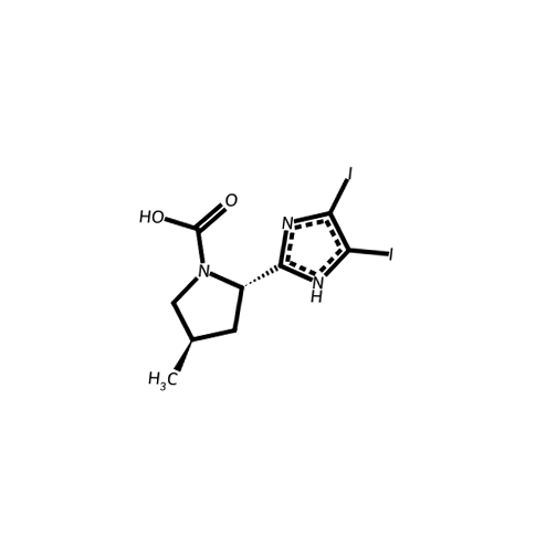 C[C@@H]1C[C@@H](c2nc(I)c(I)[nH]2)N(C(=O)O)C1